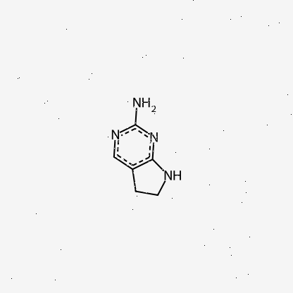 Nc1ncc2c(n1)NCC2